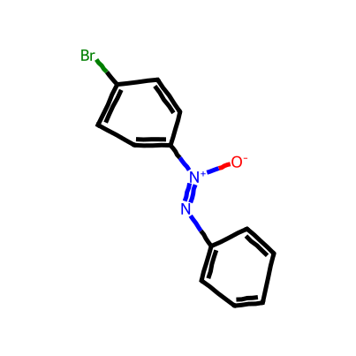 [O-][N+](=Nc1ccccc1)c1ccc(Br)cc1